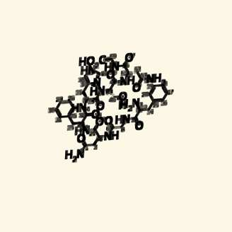 NC(=O)C[C@H](NC(=O)CNC(=O)[C@@H](N)Cc1ccccc1)C(=O)N[C@@H](Cc1ccccc1)C(=O)N[C@@H](Cc1c[nH]cn1)C(=O)N[C@@H](CO)C(=O)N[C@@H](CC(N)=O)C(=O)NCC(=O)O